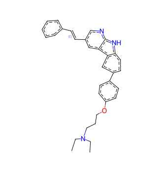 CCN(CC)CCCOc1ccc(-c2ccc3[nH]c4ncc(/C=C/c5ccccc5)cc4c3c2)cc1